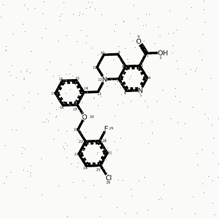 O=C(O)c1cncc2c1CCCN2Cc1ccccc1OCc1ccc(Cl)cc1F